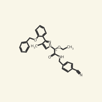 CCO[C@@H](C(=O)NCc1ccc(C#N)cc1)n1cc(C)c(-c2ccccc2OCc2ccccc2)n1